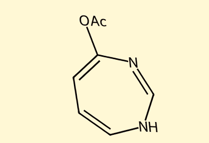 CC(=O)OC1=CC=CNC=N1